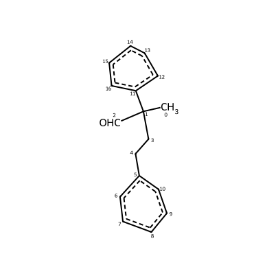 CC(C=O)(CCc1ccccc1)c1ccccc1